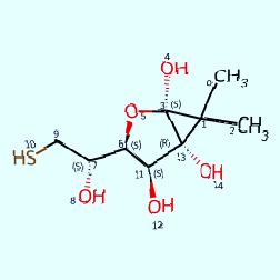 CC1(C)[C@]2(O)O[C@H]([C@H](O)CS)[C@H](O)[C@]12O